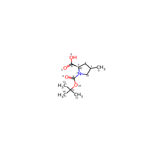 CC1C[C@H](C(=O)O)N(C(=O)OC(C)(C)C)C1